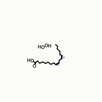 CCCCC/C=C\C/C=C\CCCCCCCC(=O)O.OO